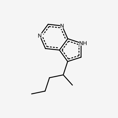 CCCC(C)c1c[nH]c2ncncc12